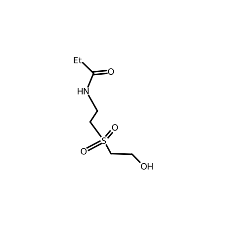 CCC(=O)NCCS(=O)(=O)CCO